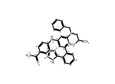 CC(C)CN(Cc1ccccc1)c1cc(Nc2ccc(C(N)=O)cc2)cc(-c2ccccc2-c2nnn[nH]2)n1